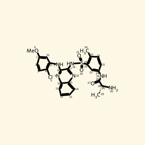 COc1ccc(Cl)c(Nc2nc3ccccc3nc2NS(=O)(=O)c2cc(NC(=O)[C@@H](C)N)ccc2C)c1